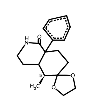 C[C@H]1C2CCNC(=O)C2(c2ccccc2)CCC12OCCO2